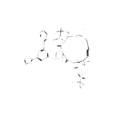 C[C@@H]1CCC=C[C@@H]2C[C@@]2(C(=O)NS(=O)(=O)C2(C)CC2)NC(=O)[C@@H]2C[C@@H](Oc3cc(-c4cccnc4)nc(-c4nccs4)c3)CN2C(=O)[C@@H](N(C(=O)O)C(C)(C)C(F)(F)F)[C@H](C)C1